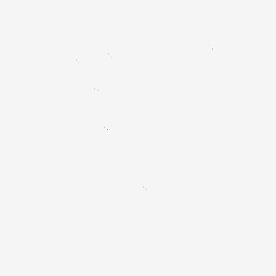 CCN1c2cc(NC(=O)c3cc(OCCc4ccccn4)nc(N4CCOCC4)n3)ccc2C2C=CC=CC21